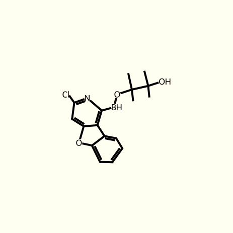 CC(C)(O)C(C)(C)OBc1nc(Cl)cc2oc3ccccc3c12